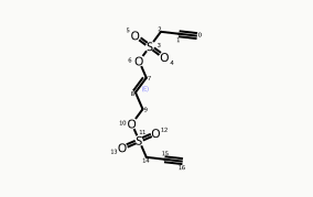 C#CCS(=O)(=O)O/C=C/COS(=O)(=O)CC#C